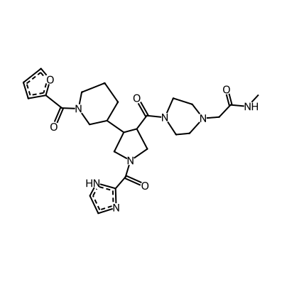 CNC(=O)CN1CCN(C(=O)C2CN(C(=O)c3ncc[nH]3)CC2C2CCCN(C(=O)c3ccco3)C2)CC1